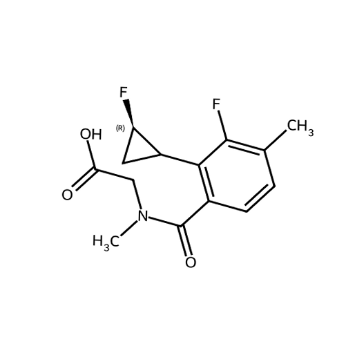 Cc1ccc(C(=O)N(C)CC(=O)O)c(C2C[C@H]2F)c1F